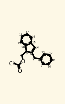 O=C(Cl)OCC1C(Cc2ccccc2)=Cc2ccccc21